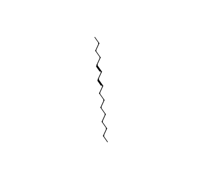 [CH2]CCCCCCCC=CC=CCCCC